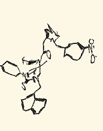 CC(C)(CN(Cc1cccc2ccccc12)C(=S)Nc1ccc(F)cc1)NC(=O)Cc1cncn1Cc1ccc([N+](=O)[O-])cc1